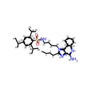 CCCCc1nc2c(N)nc3ccccc3c2n1CCCCNS(=O)(=O)c1c(C(C)C)cc(C(C)C)cc1C(C)C